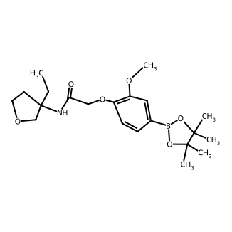 CCC1(NC(=O)COc2ccc(B3OC(C)(C)C(C)(C)O3)cc2OC)CCOC1